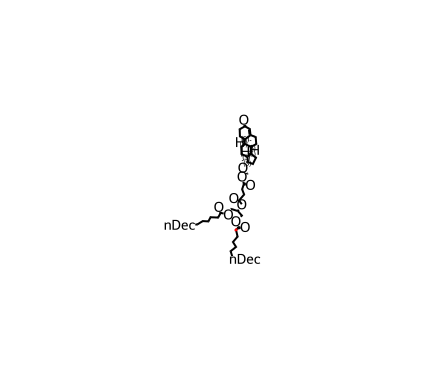 CCCCCCCCCCCCCCCC(=O)OCC(COC(=O)CCCCCCCCCCCCCCC)OC(=O)CCC(=O)OCO[C@H]1CC[C@H]2[C@@H]3CCC4=CC(=O)CC[C@]4(C)[C@H]3CC[C@]12C